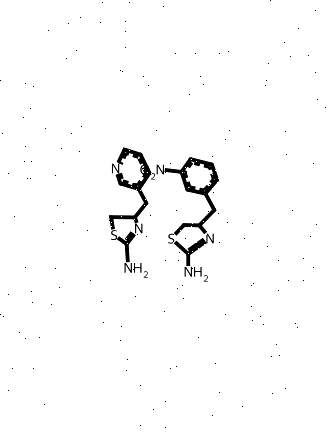 NC1=NC(Cc2cccc([N+](=O)[O-])c2)CS1.NC1=NC(Cc2cccnc2)CS1